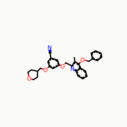 Cc1c(COc2cc(C#N)cc(OCC3CCOCC3)c2)nc2ccccc2c1OCc1ccccc1